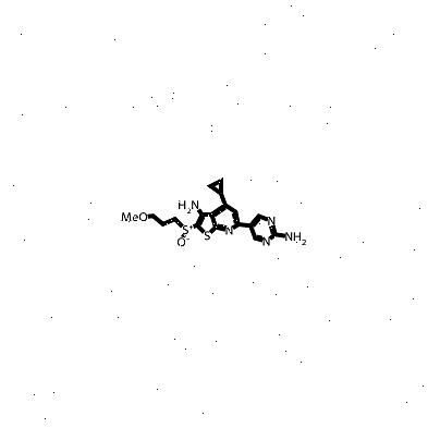 COCCC[S+]([O-])c1sc2nc(-c3cnc(N)nc3)cc(C3CC3)c2c1N